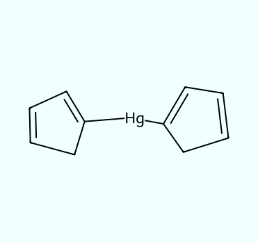 C1=CC[C]([Hg][C]2=CC=CC2)=C1